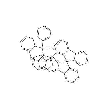 CC1(c2ccccc2)c2c(cccc2-c2cccc3c2C2(c4ccccc4-c4cc5ccccc5cc42)c2ccccc2-3)OC2=CC=CCC21